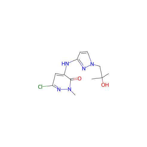 Cn1nc(Cl)cc(Nc2ccn(CC(C)(C)O)n2)c1=O